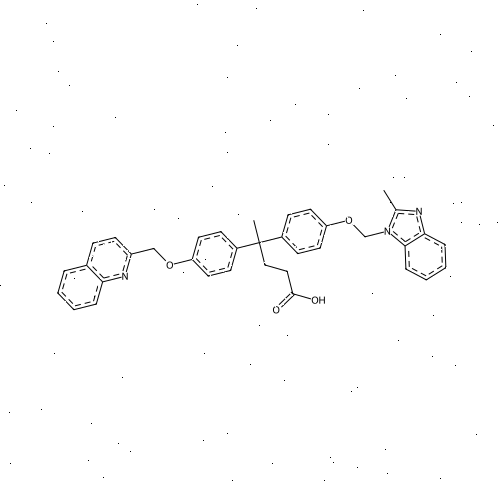 Cc1nc2ccccc2n1COc1ccc(C(C)(CCC(=O)O)c2ccc(OCc3ccc4ccccc4n3)cc2)cc1